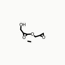 CC.OCC1OC1OCC1CO1